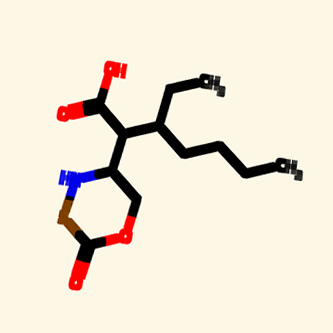 CCCCC(CC)C(C(=O)O)C1COC(=O)SN1